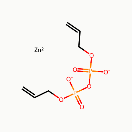 C=CCOP(=O)([O-])OP(=O)([O-])OCC=C.[Zn+2]